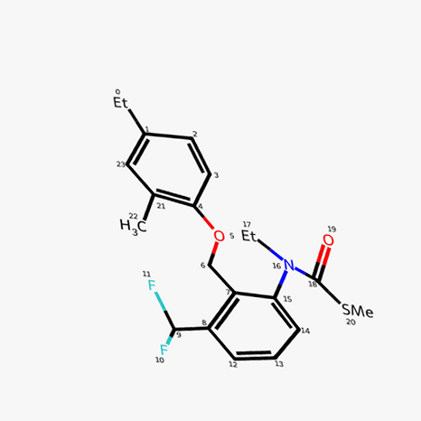 CCc1ccc(OCc2c(C(F)F)cccc2N(CC)C(=O)SC)c(C)c1